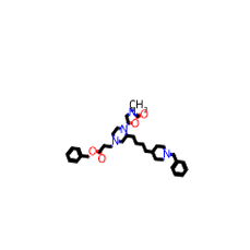 CN1CC(N2CCN(CCC(=O)OCc3ccccc3)CC2CCCCC2CCN(Cc3ccccc3)CC2)OC1=O